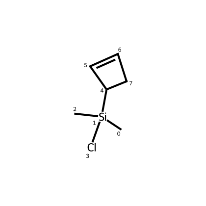 C[Si](C)(Cl)C1C=CC1